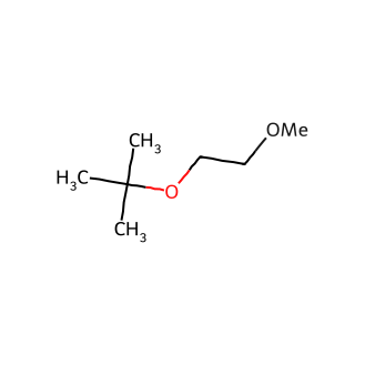 [CH2]OCCOC(C)(C)C